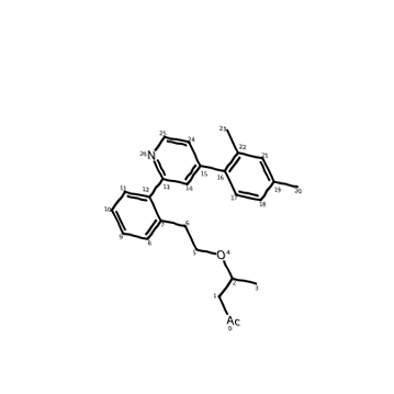 CC(=O)CC(C)OCCc1ccccc1-c1cc(-c2ccc(C)cc2C)ccn1